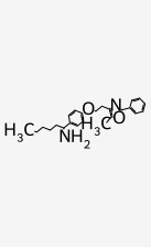 CCCCC[C@H](N)c1ccc(OCCc2nc(-c3ccccc3)oc2C)cc1